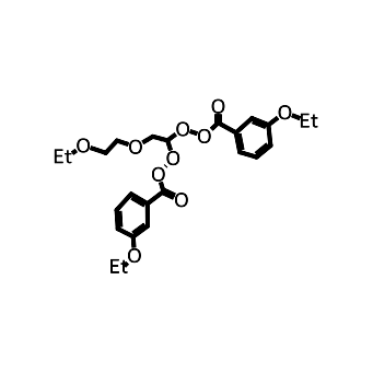 [CH2]COCCOC[C](OOC(=O)c1cccc(OCC)c1)OOC(=O)c1cccc(OCC)c1